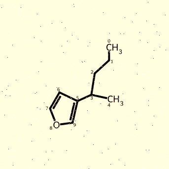 CCCC(C)c1ccoc1